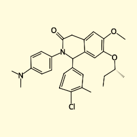 CC[C@@H](C)Oc1cc2c(cc1OC)CC(=O)N(c1ccc(N(C)C)cc1)C2c1ccc(Cl)c(C)c1